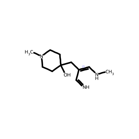 CN/C=C(\C=N)CC1(O)CCN(C)CC1